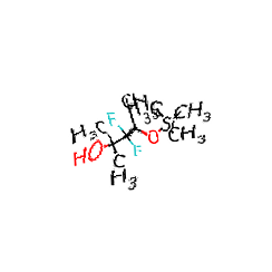 CC(O[Si](C)(C)C)C(F)(F)C(C)(C)O